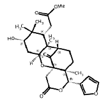 C=C1[C@H]2CC[C@@]3(C)[C@H](c4ccoc4)OC(=O)C[C@]13O[C@H]1C[C@H](O)C(C)(C)[C@H](CC(=O)OC)[C@]12C